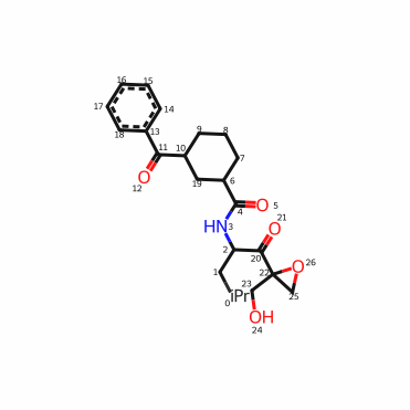 CC(C)CC(NC(=O)C1CCCC(C(=O)c2ccccc2)C1)C(=O)C1(CO)CO1